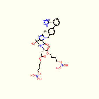 CCCc1nc(C(C)(C)O)c(C(=O)N[C@@H](CC(=O)OCCCCON(O)O)C(=O)OCCCCON(O)O)n1Cc1ccc(-c2ccccc2-c2nnn[nH]2)cc1